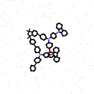 CC1(C)CC(C)(c2ccc(-c3ccc(N(c4ccc(-c5ccccc5)cc4)c4ccc(-n5c6ccccc6c6ccccc65)cc4)cc3)cc2)c2cc(-c3ccc(N(c4ccc(-c5ccccc5)cc4)c4ccc(-n5c6ccccc6c6ccccc65)cc4)cc3)ccc21